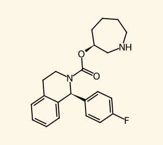 O=C(O[C@H]1CCCCNC1)N1CCc2ccccc2[C@@H]1c1ccc(F)cc1